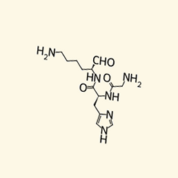 NCCCC[C@@H](C=O)NC(=O)[C@H](Cc1c[nH]cn1)NC(=O)CN